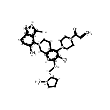 C=CC(=O)N1CCN(c2c(C#N)c(OC[C@@H]3CCCN3C)nc3c2CCN(c2c(C)ccc4[nH]nc(F)c24)C3)CC1